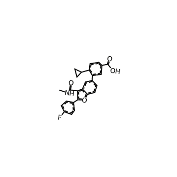 CNC(=O)c1c(-c2ccc(F)cc2)oc2ccc(-c3cc(C(=O)O)ccc3C3CC3)cc12